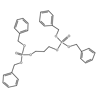 O=P(OCCCOP(=O)(OCc1ccccc1)OCc1ccccc1)(OCc1ccccc1)OCc1ccccc1